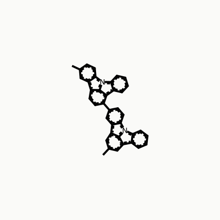 Cc1ccc2c(c1)c1ccc(-c3ccc4c(c3)c3cc(C)cc5c6ccccc6n4c53)c3c4ccccc4n2c13